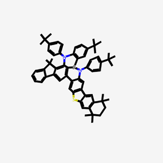 CC(C)(C)c1ccc(N2B3c4cc(C(C)(C)C)ccc4N(c4ccc(C(C)(C)C)cc4)c4c3c(cc3c4C(C)(C)c4ccccc4-3)-c3cc4sc5cc6c(cc5c4cc32)C(C)(C)CCC6(C)C)cc1